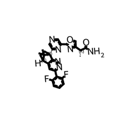 C[C@@H](C(N)=O)c1coc(-c2cncc([C@]34CC[C@@H](c5cc(-c6c(F)cccc6F)nnc53)C4(C)C)n2)n1